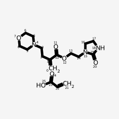 C=C(CCN1CCOCC1)C(=O)OCCN1CCNC1=O.C=CC(=O)O